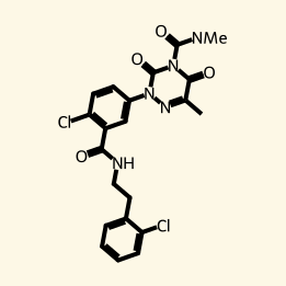 CNC(=O)n1c(=O)c(C)nn(-c2ccc(Cl)c(C(=O)NCCc3ccccc3Cl)c2)c1=O